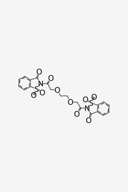 O=C(COCCOCC(=O)N1C(=O)c2ccccc2S1(=O)=O)N1C(=O)c2ccccc2S1(=O)=O